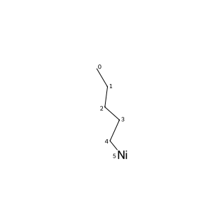 CCCC[CH2][Ni]